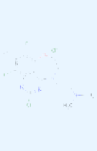 CN(C)CCN1CCOc2c(F)[c]([Zn+])c(F)c3nc(Cl)nc1c23.[Cl-]